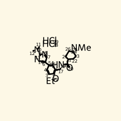 CCOc1ccc(-c2cnc(N(C)C)nc2)cc1CNC(=O)C1CCC(NC)CC1.Cl.Cl